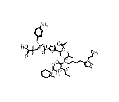 CC[C@H](C)[C@H](NC(=O)[C@H]1CCCCN1C)C(=O)N(CCCCc1cnnn1CCO)[C@H](CC(OC(C)=O)c1nc(C(=O)N[C@@H](Cc2ccc(N)cc2)CC(C)(C)C(=O)O)cs1)C(C)C